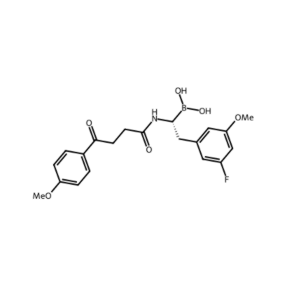 COc1ccc(C(=O)CCC(=O)N[C@@H](Cc2cc(F)cc(OC)c2)B(O)O)cc1